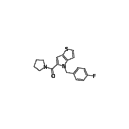 O=C(c1cc2sccc2n1Cc1ccc(F)cc1)N1CCCC1